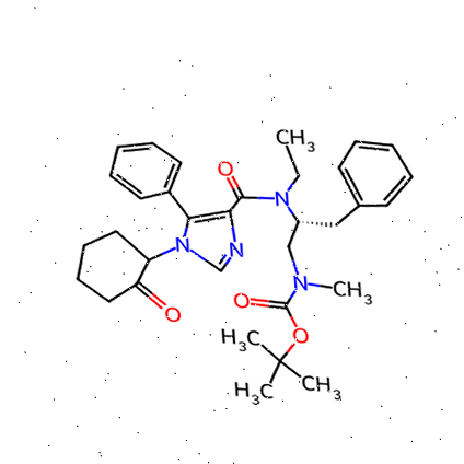 CCN(C(=O)c1ncn(C2CCCCC2=O)c1-c1ccccc1)[C@H](Cc1ccccc1)CN(C)C(=O)OC(C)(C)C